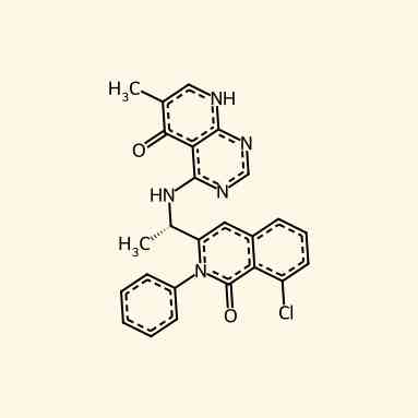 Cc1c[nH]c2ncnc(N[C@@H](C)c3cc4cccc(Cl)c4c(=O)n3-c3ccccc3)c2c1=O